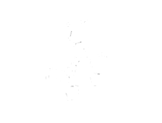 C/C(=C/C(=O)[O-])C(=O)[O-].CC[N+](CC)(CC)c1ccccc1.CC[N+](CC)(CC)c1ccccc1